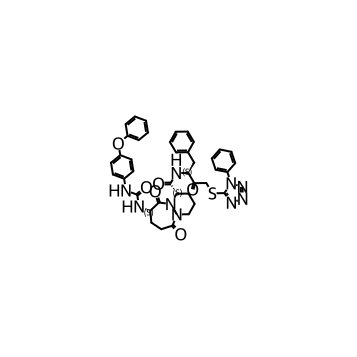 O=C(Nc1ccc(Oc2ccccc2)cc1)N[C@H]1CCC(=O)N2CCC[C@@H](C(=O)N[C@@H](Cc3ccccc3)C(=O)CSc3nnnn3-c3ccccc3)N2C1=O